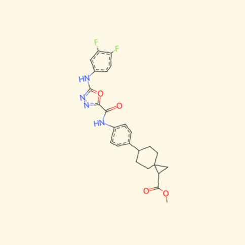 COC(=O)C1CC12CCC(c1ccc(NC(=O)c3nnc(Nc4ccc(F)c(F)c4)o3)cc1)CC2